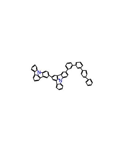 c1ccc(-c2ccc(-c3cccc(-c4cccc(-c5ccc6c(c5)c5cc(-c7ccc8c(c7)c7cccc9c%10ccccc%10n8c97)cc7c8ccccc8n6c75)c4)c3)cc2)cc1